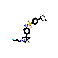 CC(C)c1ccc(S(=O)(=O)Nc2ccc(C34C[C@@H]3CN(CCCF)C4)cc2)cc1